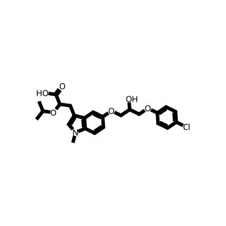 CC(C)OC(Cc1cn(C)c2ccc(OCC(O)COc3ccc(Cl)cc3)cc12)C(=O)O